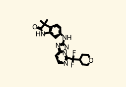 CC1(C)C(=O)Nc2cc(Nc3nc4ccnc(C(F)(F)C5CCOCC5)n4n3)ccc21